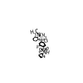 CN(C)[C@H]1CCCC[C@@H]1Nc1cc(F)c(S(=O)(=O)Nc2nccs2)cc1Cl